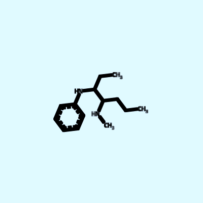 CCCC(NC)C(CC)Nc1ccccc1